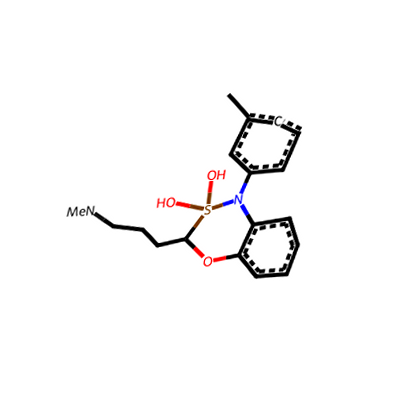 CNCCCC1Oc2ccccc2N(c2cccc(C)c2)S1(O)O